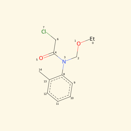 CCOCN(C(=O)CCl)c1ccccc1C